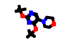 C[Si](C)(C)Oc1ncc(N2CCOCC2)c(O[Si](C)(C)C)n1